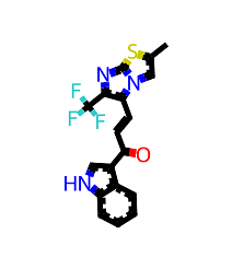 Cc1cn2c(/C=C/C(=O)c3c[nH]c4ccccc34)c(C(F)(F)F)nc2s1